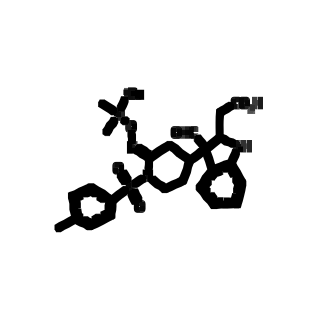 Cc1ccc(S(=O)(=O)N2CCC(C3(C=O)c4ccccc4NC3CC(=O)O)CC2=NO[Si](C)(C)C(C)(C)C)cc1